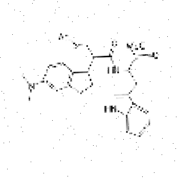 COC(=O)C(Cc1c[nH]c2ccccc12)NC(=O)C(CSC(C)=O)C1CCc2cc(N(C)C)ccc21